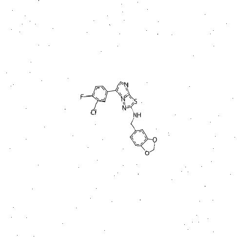 Fc1ccc(-c2cnc3sc(NCc4ccc5c(c4)OCO5)nn23)cc1Cl